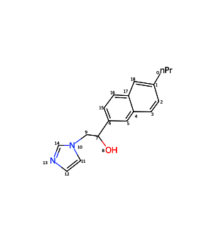 CCCc1ccc2cc(C(O)Cn3ccnc3)ccc2c1